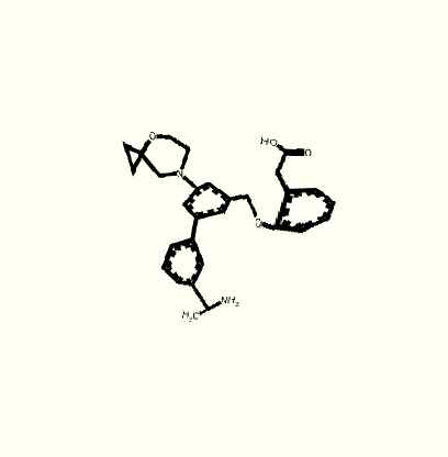 C[C@H](N)c1cccc(-c2cc(COc3ccccc3CC(=O)O)cc(N3CCOC4(CC4)C3)c2)c1